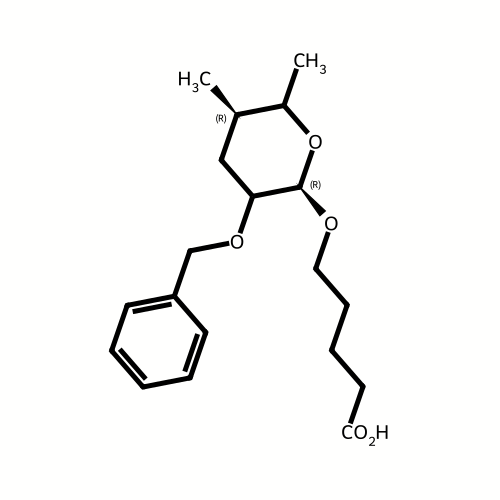 CC1O[C@@H](OCCCCC(=O)O)C(OCc2ccccc2)C[C@H]1C